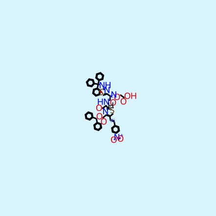 O=C(O)CO/N=C(\C(=O)NC1C(=O)N2C(C(=O)OC(c3ccccc3)c3ccccc3)=C(/C=C/c3ccc([N+](=O)[O-])cc3)CS[C@H]12)c1csc(NC(c2ccccc2)(c2ccccc2)c2ccccc2)n1